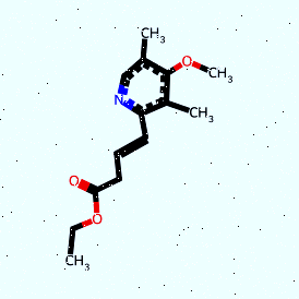 CCOC(=O)C/C=C/c1ncc(C)c(OC)c1C